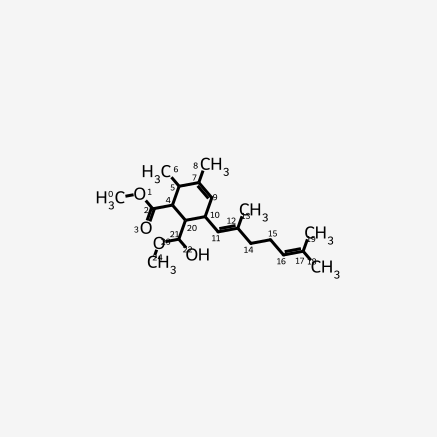 COC(=O)C1C(C)C(C)=CC(/C=C(\C)CCC=C(C)C)C1C(O)OC